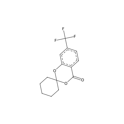 O=C1OC2(CCCCC2)Oc2cc(C(F)(F)F)ccc21